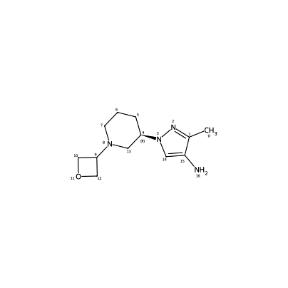 Cc1nn([C@@H]2CCCN(C3COC3)C2)cc1N